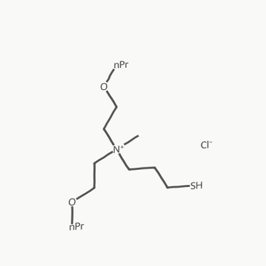 CCCOCC[N+](C)(CCCS)CCOCCC.[Cl-]